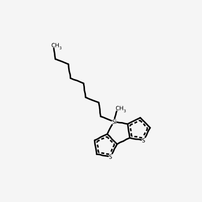 CCCCCCCC[Si]1(C)c2ccsc2-c2sccc21